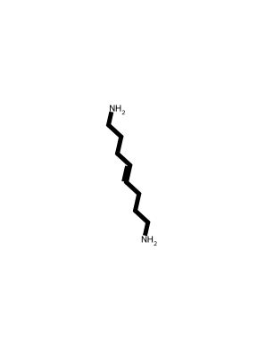 NCCC/C=C/CCCN